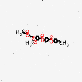 C=CC(=O)OCCCOc1ccc(C(=O)Oc2ccc(C(=O)Oc3ccc(CC)cc3)cc2)cc1OC